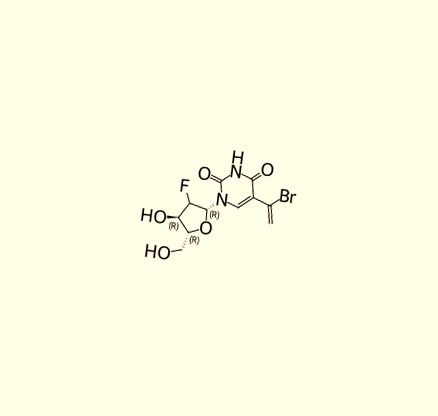 C=C(Br)c1cn([C@@H]2O[C@H](CO)[C@@H](O)C2F)c(=O)[nH]c1=O